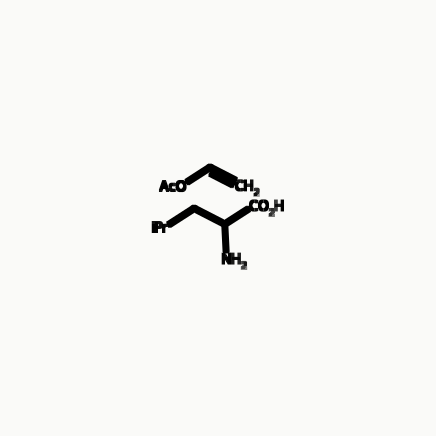 C=COC(C)=O.CC(C)CC(N)C(=O)O